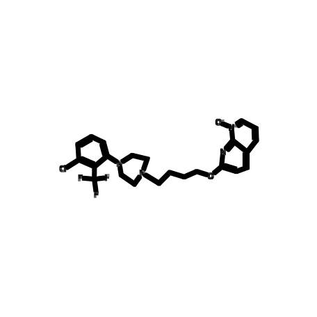 [O-][n+]1cccc2ccc(OCCCCN3CCN(c4cccc(Cl)c4C(F)(F)F)CC3)nc21